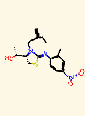 Cc1cc([N+](=O)[O-])ccc1N=C1SC[C@H]([C@@H](C)O)N1CC(C)C